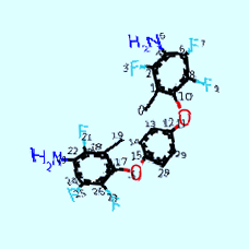 Cc1c(F)c(N)c(F)c(F)c1Oc1ccc(Oc2c(C)c(F)c(N)c(F)c2F)cc1